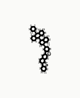 c1ccc(-c2c3ccccc3c(-c3ccc(-c4ccc5oc6cc7c(ccc8c9ccccc9sc78)cc6c5c4)c4ccccc34)c3ccccc23)cc1